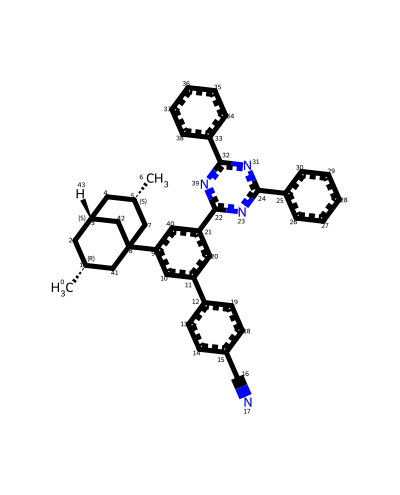 C[C@@H]1C[C@@H]2C[C@H](C)CC(c3cc(-c4ccc(C#N)cc4)cc(-c4nc(-c5ccccc5)nc(-c5ccccc5)n4)c3)(C1)C2